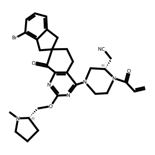 C=CC(=O)N1CCN(c2nc(OC[C@@H]3CCCN3C)nc3c2CCC2(Cc4cccc(Br)c4C2)C3=O)C[C@@H]1CC#N